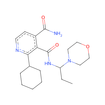 CCC(NC(=O)c1c(C(N)=O)ccnc1C1CCCCC1)N1CCOCC1